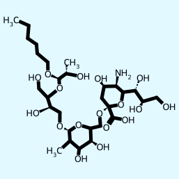 CCCCCCO[C@H](OC(CO)[C@H](O)CO[C@@H]1OC(CO[C@]2(C(=O)O)C[C@@H](O)[C@@H](N)C([C@H](O)[C@H](O)CO)O2)[C@@H](O)C(O)C1C)[C@H](C)O